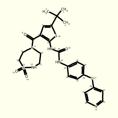 CC(C)(C)c1cc(C(=O)N2CCNS(=O)(=O)CC2)c(NC(=O)Nc2ccc(Oc3ccncc3)cc2)s1